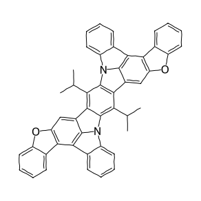 CC(C)c1c2c3cc4oc5ccccc5c4c4c5ccccc5n(c2c(C(C)C)c2c5cc6oc7ccccc7c6c6c7ccccc7n(c12)c56)c34